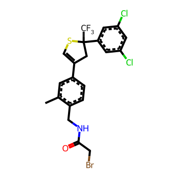 Cc1cc(C2=CSC(c3cc(Cl)cc(Cl)c3)(C(F)(F)F)C2)ccc1CNC(=O)CBr